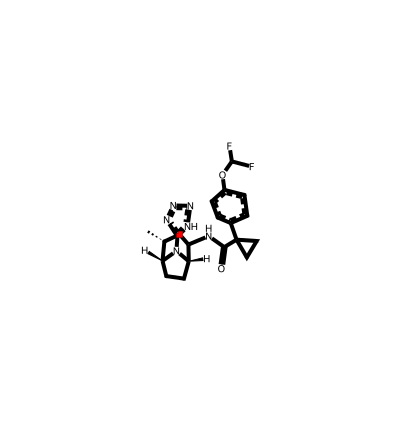 C[C@@H]1CC(NC(=O)C2(c3ccc(OC(F)F)cc3)CC2)[C@@H]2CC[C@H]1N2c1nnn[nH]1